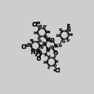 NC(=O)C(c1ccc(Cl)cc1)N1C(=O)[C@@H](Cc2ccc(F)cc2)O[C@H](c2ccc(Cl)cc2)[C@@H]1c1ccc(Cl)cc1